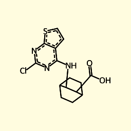 O=C(O)C1C2CCC(CC2)C1Nc1nc(Cl)nc2sccc12